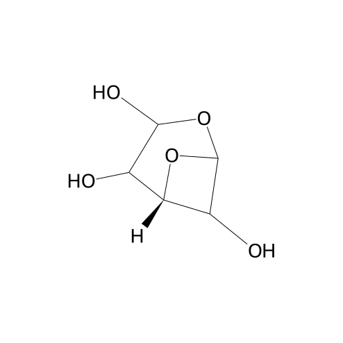 OC1OC2O[C@@H](C1O)C2O